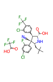 CC(C)(C)C[C@@H]1N[C@@H](C(=O)O)[C@H](c2ccc(C(F)(F)F)c(Cl)c2)[C@@]1(C#N)c1ccc(Cl)cc1F.O=C(O)C(F)(F)F